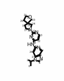 CC(C)n1cnc2cnc(Nc3ccnc(N4CCC5(CCOC5)C4)n3)cc21